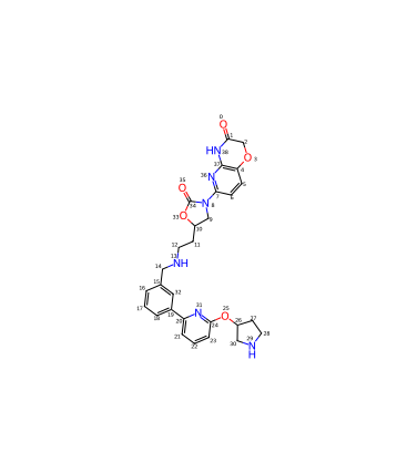 O=C1COc2ccc(N3CC(CCNCc4cccc(-c5cccc(OC6CCNC6)n5)c4)OC3=O)nc2N1